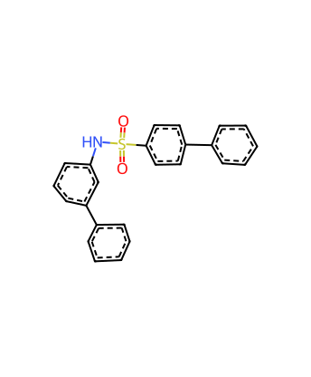 O=S(=O)(Nc1cccc(-c2ccccc2)c1)c1ccc(-c2ccccc2)cc1